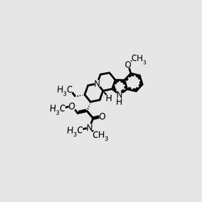 CC[C@@H]1CN2CCc3c([nH]c4cccc(OC)c34)[C@@H]2C[C@@H]1/C(=C\OC)C(=O)N(C)C